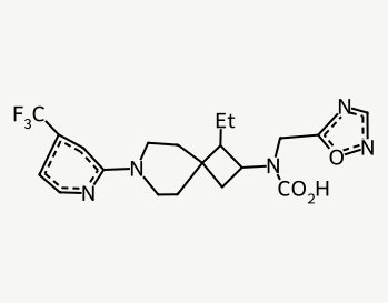 CCC1C(N(Cc2ncno2)C(=O)O)CC12CCN(c1cc(C(F)(F)F)ccn1)CC2